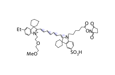 CCc1ccc2c(c1)C1(CCCCC1)C(/C=C/C=C/C=C/C=C1/N(CCCCCC(=O)ON3C(=O)CCC3=O)c3ccc(S(=O)(=O)O)cc3C13CCCCC3)=[N+]2CCOCCOC